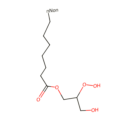 CCCCCCCCCCCCCCCC(=O)OCC(CO)OO